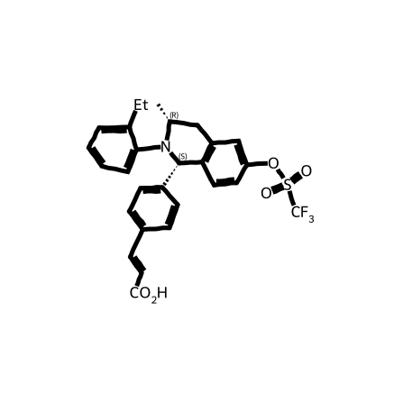 CCc1ccccc1N1[C@@H](c2ccc(C=CC(=O)O)cc2)c2ccc(OS(=O)(=O)C(F)(F)F)cc2C[C@H]1C